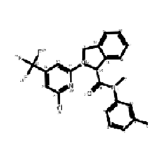 Cc1cccc(N(C)C(=O)[C@@H]2c3ccccc3CN2c2cc(C(F)(F)F)cc(Cl)n2)c1